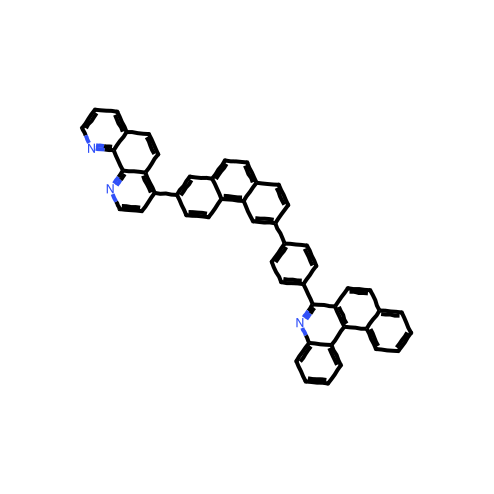 c1ccc2c(c1)ccc1c(-c3ccc(-c4ccc5ccc6cc(-c7ccnc8c7ccc7cccnc78)ccc6c5c4)cc3)nc3ccccc3c12